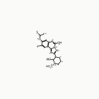 CC(C)(C)C1C(c2nc3c4cc(F)c(OC(F)F)cc4nc(O)n3n2)CCCN1C(=O)O